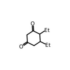 CCC1CC(=O)CC(=O)C1CC